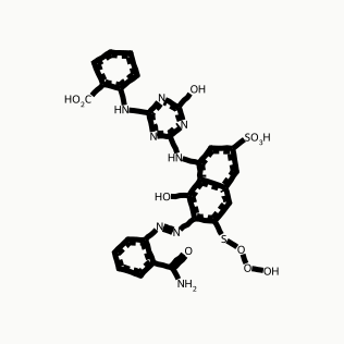 NC(=O)c1ccccc1N=Nc1c(SOOO)cc2cc(S(=O)(=O)O)cc(Nc3nc(O)nc(Nc4ccccc4C(=O)O)n3)c2c1O